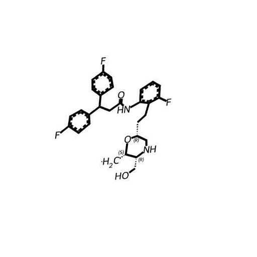 [CH2][C@@H]1O[C@H](CCc2c(F)cccc2NC(=O)CC(c2ccc(F)cc2)c2ccc(F)cc2)CN[C@@H]1CO